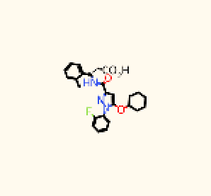 Cc1ccccc1[C@H](CC(=O)O)NC(=O)c1cc(OC2CCCCC2)n(-c2ccccc2F)n1